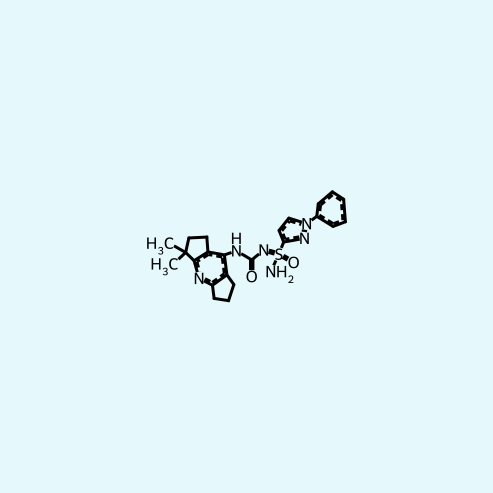 CC1(C)CCc2c1nc1c(c2NC(=O)N=S(N)(=O)c2ccn(-c3ccccc3)n2)CCC1